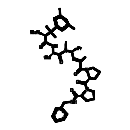 CN[C@H](C(=O)N[C@H](C(=O)N(C)[C@H](/C=C(\C)C(=O)N1CCC[C@H]1C(=O)N1CCC[C@H]1C(=O)NCc1ccccc1)C(C)C)C(C)(C)C)C(C)(C)c1cc(C)cc(C)c1